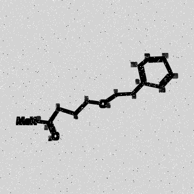 CNC(=O)CCCOCCc1ccccc1